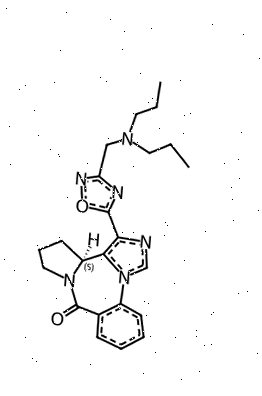 CCCN(CCC)Cc1noc(-c2ncn3c2[C@@H]2CCCN2C(=O)c2ccccc2-3)n1